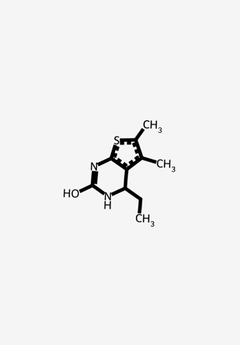 CCC1NC(O)=Nc2sc(C)c(C)c21